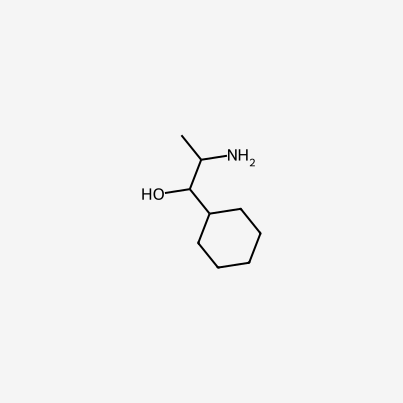 CC(N)C(O)C1CCCCC1